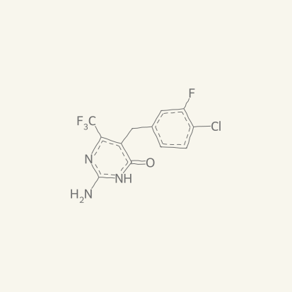 Nc1nc(C(F)(F)F)c(Cc2ccc(Cl)c(F)c2)c(=O)[nH]1